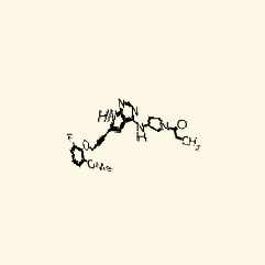 C=CC(=O)N1CCC(Nc2ncnc3[nH]c(C#CCOc4c(F)cccc4OC)cc23)C1